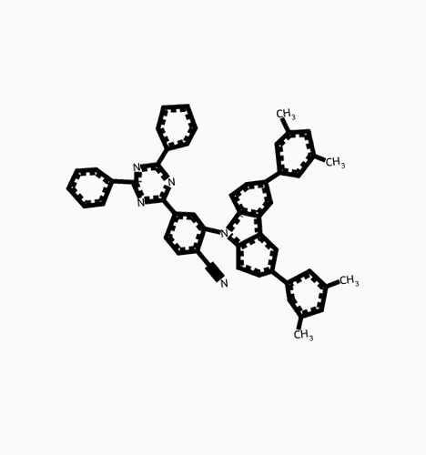 Cc1cc(C)cc(-c2ccc3c(c2)c2cc(-c4cc(C)cc(C)c4)ccc2n3-c2cc(-c3nc(-c4ccccc4)nc(-c4ccccc4)n3)ccc2C#N)c1